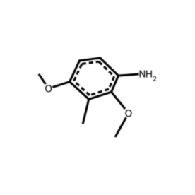 COc1ccc(N)c(OC)c1C